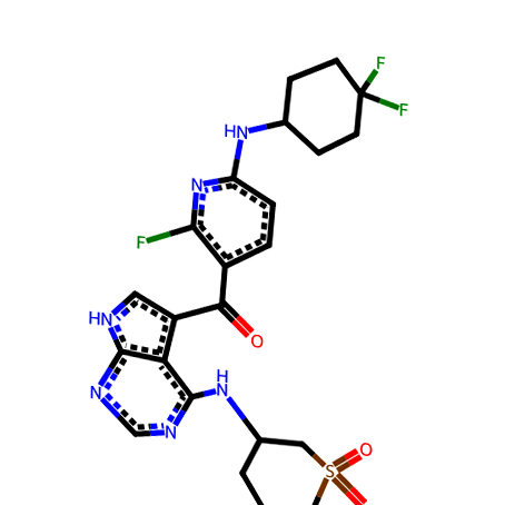 O=C(c1ccc(NC2CCC(F)(F)CC2)nc1F)c1c[nH]c2ncnc(NC3CCCS(=O)(=O)C3)c12